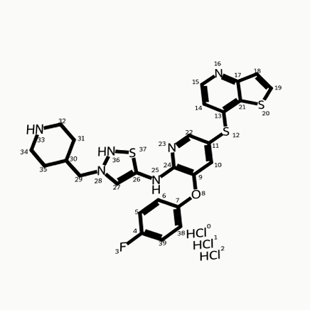 Cl.Cl.Cl.Fc1ccc(Oc2cc(Sc3ccnc4ccsc34)cnc2NC2=CN(CC3CCNCC3)NS2)cc1